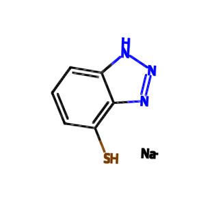 Sc1cccc2[nH]nnc12.[Na]